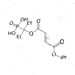 CCC(CC)(OC(=O)/C=C/C(=O)OC(C)C)P(=O)(O)O